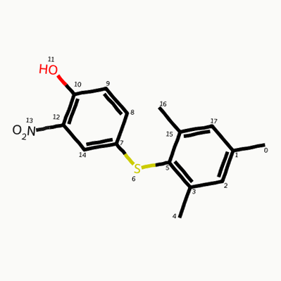 Cc1cc(C)c(Sc2ccc(O)c([N+](=O)[O-])c2)c(C)c1